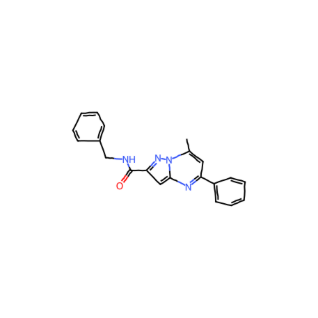 Cc1cc(-c2ccccc2)nc2cc(C(=O)NCc3ccccc3)nn12